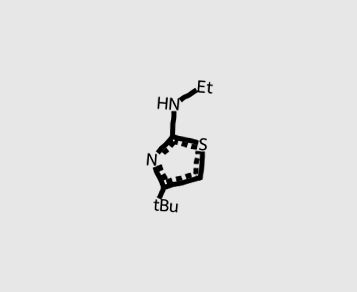 CCNc1nc(C(C)(C)C)cs1